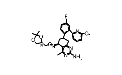 COc1cccc(-c2cc(F)ccc2C2CC(=NOC[C@H]3COC(C)(C)O3)c3c(C)nc(N)nc3C2)n1